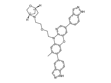 Cc1cc2c(cc1-c1ccc3[nH]ncc3c1)Oc1cc(-c3ccc4[nH]ncc4c3)cnc1N2CCOCCN1C[C@@H]2C[C@H]1CO2